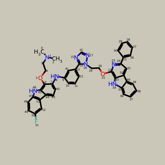 CN(C)CCOc1c(Nc2cccc(-c3ncnn3CCOc3nc(-c4ccccc4)cc4c3[nH]c3ccccc34)c2)ccc2c1[nH]c1ccc(F)cc12